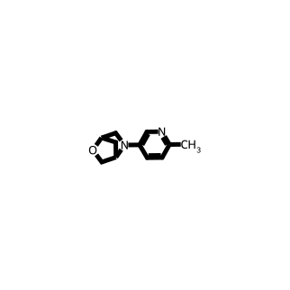 Cc1ccc(N2CC3CC2CO3)cn1